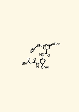 CC(C)(C)C1=C2N=C21.CCCCCCCCCCCCC(OCCCCC)C(=O)Nc1ccc(OC)c(NC(=O)CC(=O)C(C)(C)C)c1